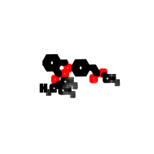 COC(=O)Cc1ccc(OCc2ccccc2C(=O)OC(C)(C)C)cc1